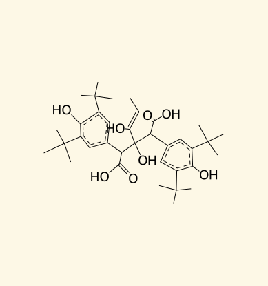 CC=C(O)C(O)(C(C(=O)O)c1cc(C(C)(C)C)c(O)c(C(C)(C)C)c1)C(C(=O)O)c1cc(C(C)(C)C)c(O)c(C(C)(C)C)c1